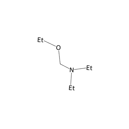 CCOCN(CC)CC